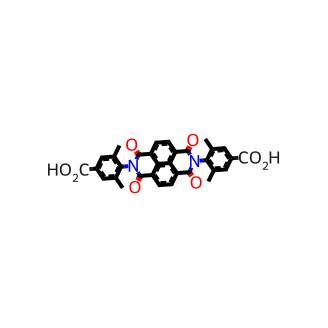 Cc1cc(C(=O)O)cc(C)c1N1C(=O)c2ccc3c4c(ccc(c24)C1=O)C(=O)N(c1c(C)cc(C(=O)O)cc1C)C3=O